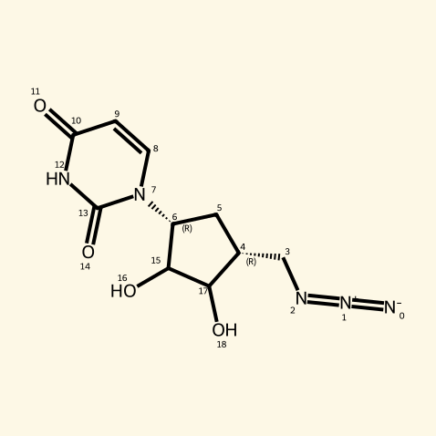 [N-]=[N+]=NC[C@H]1C[C@@H](n2ccc(=O)[nH]c2=O)C(O)C1O